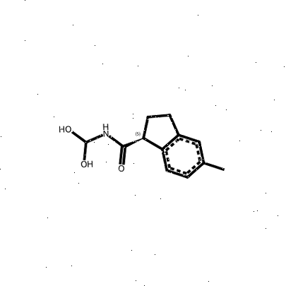 Cc1ccc2c(c1)CC[C@@H]2C(=O)NC(O)O